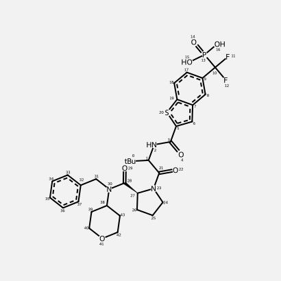 CC(C)(C)C(NC(=O)c1cc2cc(C(F)(F)P(=O)(O)O)ccc2s1)C(=O)N1CCC[C@H]1C(=O)N(Cc1ccccc1)C1CCOCC1